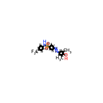 Cc1cc(/N=N/c2ccc(S(=O)(=O)Nc3ccc(C(F)(F)F)cc3)cc2)cc(C)c1O